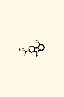 O=C(O)N1CCc2c([nH]c3cccc(Cl)c23)C1